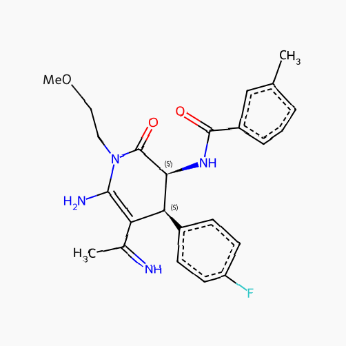 COCCN1C(=O)[C@@H](NC(=O)c2cccc(C)c2)[C@@H](c2ccc(F)cc2)C(C(C)=N)=C1N